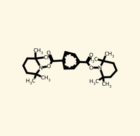 CC1(C)CCCC(C)(C)N1OC(=O)c1ccc(C(=O)ON2C(C)(C)CCCC2(C)C)cc1